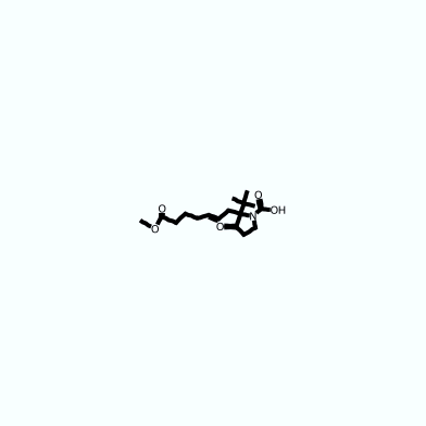 COC(=O)CCCC=CCC1(C(C)(C)C)C(=O)CCN1C(=O)O